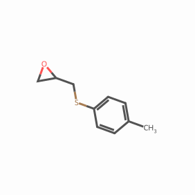 Cc1ccc(SCC2CO2)cc1